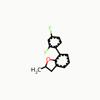 [CH2]C1Cc2cccc(-c3ccc(F)cc3F)c2O1